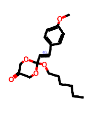 CCCCCCOC1(/C=C/c2ccc(OC)cc2)OCC(=O)CO1